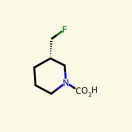 O=C(O)N1CCC[C@H](CF)C1